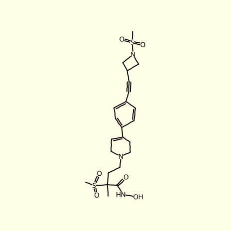 CC(CCN1CC=C(c2ccc(C#CC3CN(S(C)(=O)=O)C3)cc2)CC1)(C(=O)NO)S(C)(=O)=O